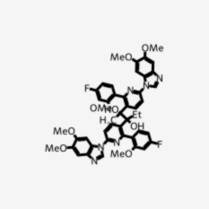 CCC(O)(c1ccc(-n2cnc3cc(OC)c(OC)cc32)nc1-c1ccc(F)cc1OC)C(C)(O)c1ccc(-n2cnc3cc(OC)c(OC)cc32)nc1-c1ccc(F)cc1OC